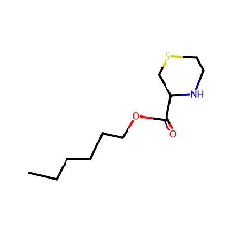 CCCCCCOC(=O)C1CSCCN1